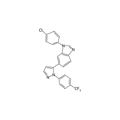 FC(F)(F)c1ccc(-n2nccc2-c2ccc3ncn(-c4ccc(Cl)cc4)c3c2)cc1